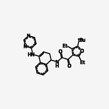 CCc1oc(C(C)(C)C)c(CC)c1C(=O)C(=O)NC1CC=C(Nc2ccncn2)c2ccccc21